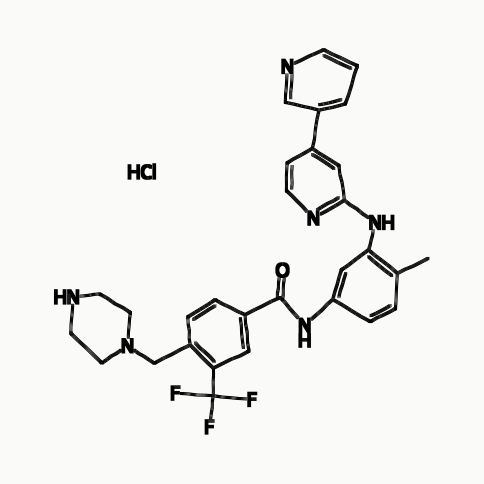 Cc1ccc(NC(=O)c2ccc(CN3CCNCC3)c(C(F)(F)F)c2)cc1Nc1cc(-c2cccnc2)ccn1.Cl